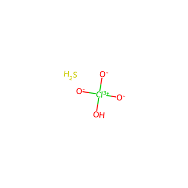 S.[O-][Cl+3]([O-])([O-])O